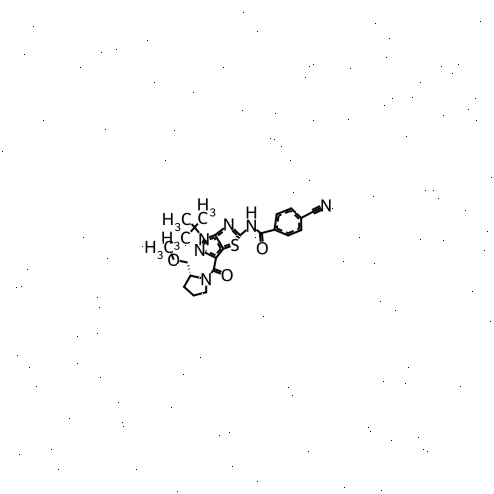 COC[C@H]1CCCN1C(=O)c1nn(C(C)(C)C)c2nc(NC(=O)c3ccc(C#N)cc3)sc12